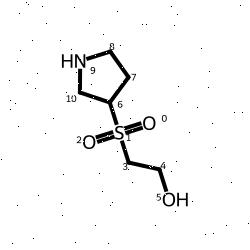 O=S(=O)(CCO)C1CCNC1